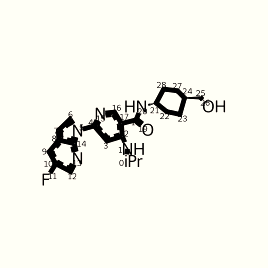 CC(C)Nc1cc(-n2ccc3cc(F)cnc32)ncc1C(=O)N[C@H]1CC[C@H](CO)CC1